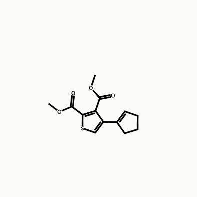 COC(=O)c1scc(C2=CCCC2)c1C(=O)OC